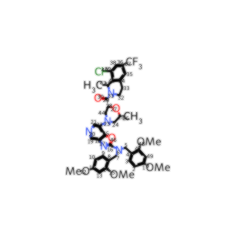 COc1ccc(CN(Cc2ccc(OC)cc2OC)c2nc3cncc(N4C[C@@H](C)O[C@@H](C(=O)N5CCc6cc(C(F)(F)F)cc(Cl)c6[C@@H]5C)C4)c3o2)c(OC)c1